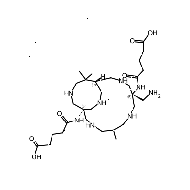 CC1CNC[C@@](CN)(NC(=O)CCCC(=O)O)CNC[C@@H]2CNC[C@@](NC(=O)CCCC(=O)O)(CNC1)CNCC2(C)C